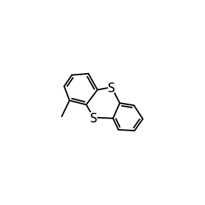 Cc1cccc2c1Sc1ccccc1S2